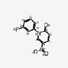 O=c1ccc([N+](=O)[O-])cn1-c1cccc(F)c1